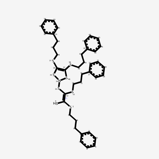 S/C(SCCCc1ccccc1)=C(/SCCCc1ccccc1)SN1SC(SCCCc2ccccc2)=C(SCCCc2ccccc2)S1